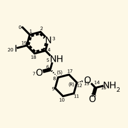 Cc1cnc(NC(=O)[C@H]2CCC[C@@H](OC(N)=O)C2)cc1I